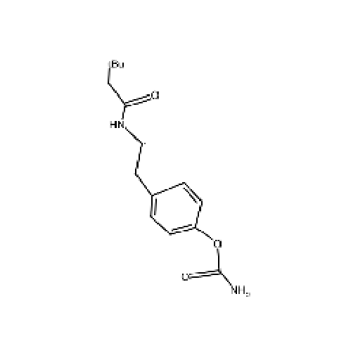 CC(C)(C)CC(=O)N[CH]Cc1ccc(OC(N)=O)cc1